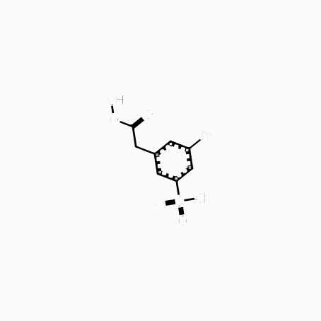 COC(=O)Cc1cc(Br)cc(S(=O)(=O)Cl)c1